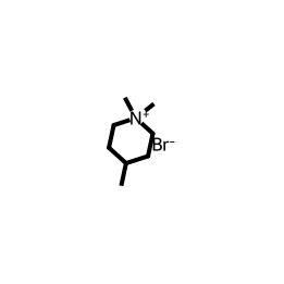 CC1CC[N+](C)(C)CC1.[Br-]